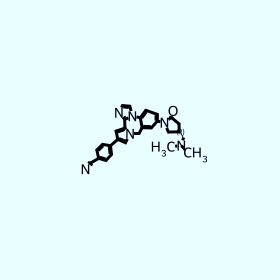 CN(C)C[C@H]1CC(=O)N(c2ccc3c(c2)Cn2cc(-c4ccc(C#N)cc4)cc2-c2nccn2-3)C1